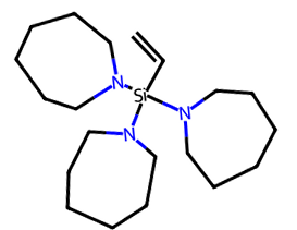 C=C[Si](N1CCCCCC1)(N1CCCCCC1)N1CCCCCC1